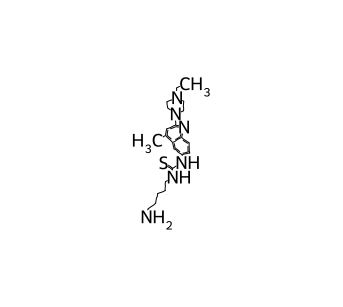 CCN1CCN(c2cc(C)c3cc(NC(=S)NCCCCCN)ccc3n2)CC1